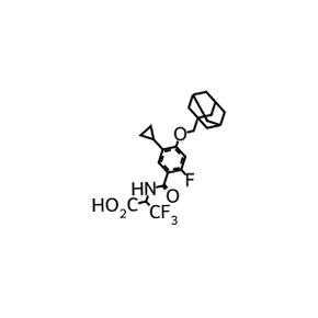 O=C(NC(C(=O)O)C(F)(F)F)c1cc(C2CC2)c(OCC23CC4CC(CC(C4)C2)C3)cc1F